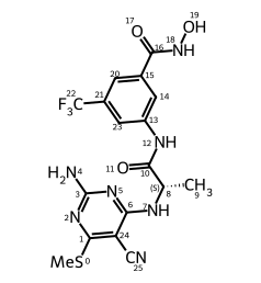 CSc1nc(N)nc(N[C@@H](C)C(=O)Nc2cc(C(=O)NO)cc(C(F)(F)F)c2)c1C#N